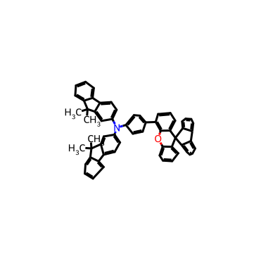 CC1(C)c2ccccc2-c2ccc(N(c3ccc(-c4cccc5c4Oc4ccccc4C54c5ccccc5-c5ccccc54)cc3)c3ccc4c(c3)C(C)(C)c3ccccc3-4)cc21